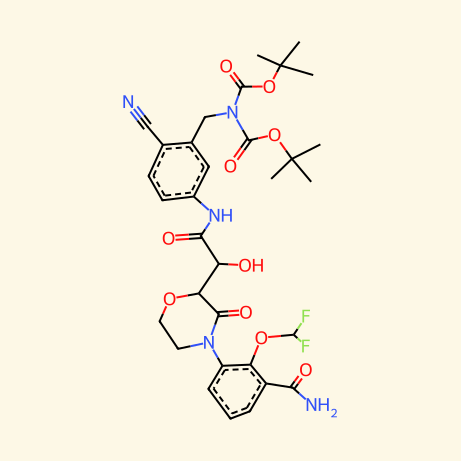 CC(C)(C)OC(=O)N(Cc1cc(NC(=O)C(O)C2OCCN(c3cccc(C(N)=O)c3OC(F)F)C2=O)ccc1C#N)C(=O)OC(C)(C)C